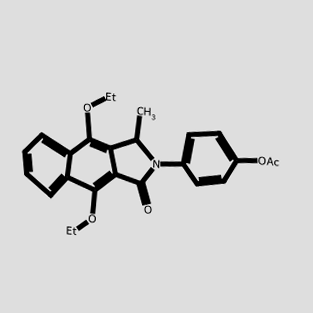 CCOc1c2c(c(OCC)c3ccccc13)C(C)N(c1ccc(OC(C)=O)cc1)C2=O